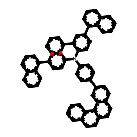 c1ccc(-c2cc(-c3cccc4ccccc34)ccc2N(c2ccc(-c3ccc4ccc5ccc6ccccc6c5c4c3)cc2)c2ccc(-c3cccc4ccccc34)cc2)cc1